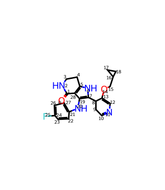 O=C1NCCc2[nH]c(C3CC=NC=C3OCC3CC3)c(Nc3ccc(F)cc3)c21